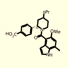 CCCC1CCN(C(=O)c2c(OC)cc(C)c3[nH]ccc23)[C@H](c2ccc(C(=O)O)cc2)C1